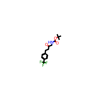 CC(C)(C)OC(=O)NCC(=O)CCc1ccc(C(F)(F)F)cc1